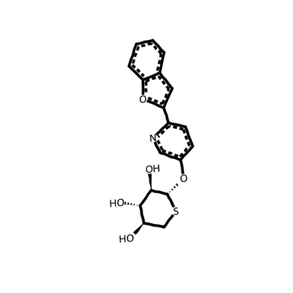 O[C@@H]1[C@@H](O)[C@H](Oc2ccc(-c3cc4ccccc4o3)nc2)SC[C@H]1O